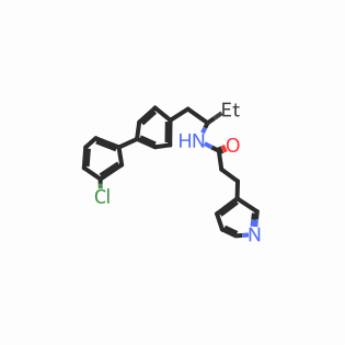 CCC(Cc1ccc(-c2cccc(Cl)c2)cc1)NC(=O)CCc1cccnc1